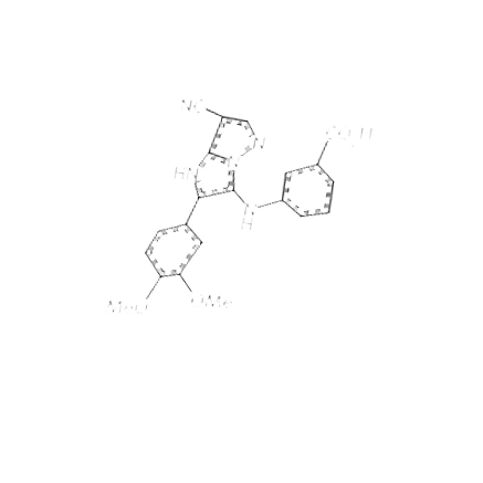 COc1ccc(-c2[nH]c3c(C#N)cnn3c2Nc2cccc(C(=O)O)c2)cc1OC